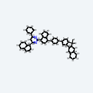 CC1(C)c2ccc(-c3ccc(-c4ccc(-c5nc(-c6ccccc6)cc(-c6cccc7ccccc67)n5)c5ccccc45)cc3)cc2-c2cc3ccccc3cc21